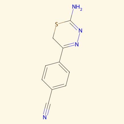 N#Cc1ccc(C2=NN=C(N)SC2)cc1